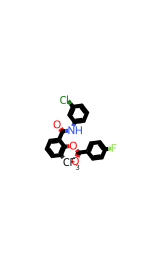 O=C(Oc1c(C(=O)Nc2cccc(Cl)c2)cccc1C(F)(F)F)c1ccc(F)cc1